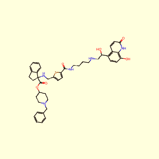 O=C(NCCCCNCC(O)c1ccc(O)c2[nH]c(=O)ccc12)c1ccc(CNC2(C(=O)OC3CCN(Cc4ccccc4)CC3)CCc3ccccc32)s1